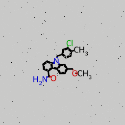 COCc1c[c]c2c3c(C(N)=O)cccc3n(Cc3ccc(C)c(Cl)c3)c2c1